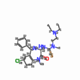 CCN(CC)CCN(C)C(=S)NC1N=C(c2ccccc2)c2cc(Cl)ccc2N(C)C1=O